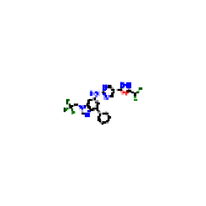 FC(F)c1nnc(-c2cnc(Nc3cc(-c4ccccc4)c4ncn(CC(F)(F)F)c4c3)nc2)o1